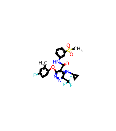 Cc1cc(F)ccc1Oc1nnc(C(F)(F)F)c(NC2CC2)c1C(=O)Nc1cccc(S(C)(=O)=O)c1